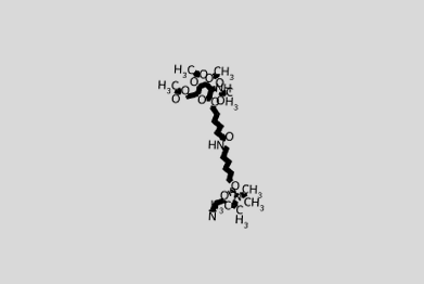 CC(=O)NC1C(OCCCCCC(=O)NCCCCCCOP(OCCC#N)N(C(C)C)C(C)C)OC(COC(C)=O)C(OC(C)=O)C1OC(C)=O